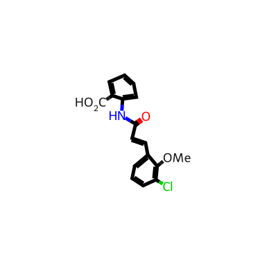 COc1c(Cl)cccc1C=CC(=O)Nc1ccccc1C(=O)O